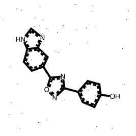 Oc1ccc(-c2noc(-c3ccc4[nH]cnc4c3)n2)cc1